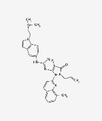 C=CCn1c(=O)c2cnc(Nc3ccc4c(ccn4CCN(C)C)c3)nc2n1-c1ccc2cccc(C)c2n1